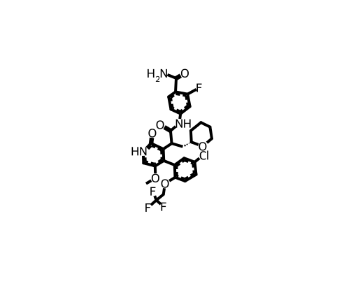 COc1c[nH]c(=O)c(C(C[C@@H]2CCCCO2)C(=O)Nc2ccc(C(N)=O)c(F)c2)c1-c1cc(Cl)ccc1OCC(F)(F)F